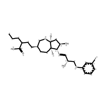 CCCC(CC[C@@H]1CC[C@@H]2[C@@H](/C=C/[C@@H](O)COc3cccc(F)c3)[C@H](O)C[C@@H]2OC1)C(=O)O